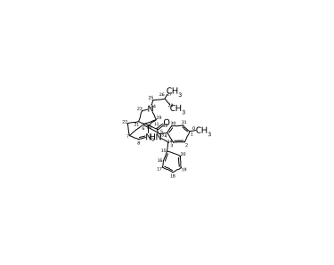 Cc1ccc(CC2C3C=NC4(C(=O)NCc5ccccc5)C(C3)CN(CC(C)C)C24)cc1